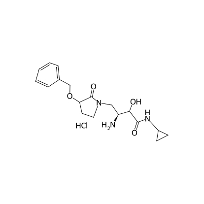 Cl.N[C@@H](CN1CCC(OCc2ccccc2)C1=O)C(O)C(=O)NC1CC1